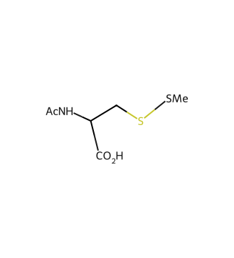 CSSCC(NC(C)=O)C(=O)O